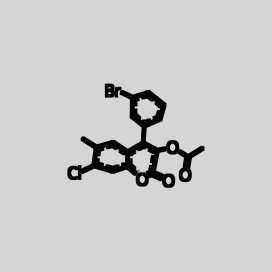 CC(=O)Oc1c(-c2cccc(Br)c2)c2cc(C)c(Cl)cc2oc1=O